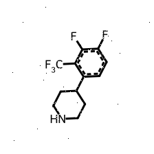 Fc1ccc(C2CCNCC2)c(C(F)(F)F)c1F